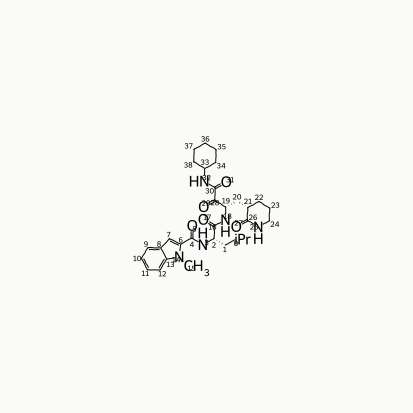 CC(C)C[C@H](NC(=O)c1cc2ccccc2n1C)C(=O)N[C@@H](C[C@@H]1CCCNC1=O)C(=O)C(=O)NC1CCCCC1